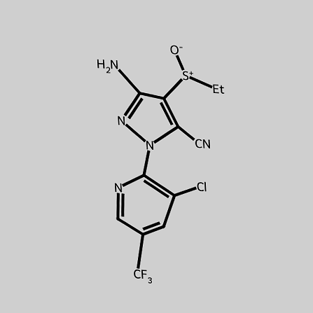 CC[S+]([O-])c1c(N)nn(-c2ncc(C(F)(F)F)cc2Cl)c1C#N